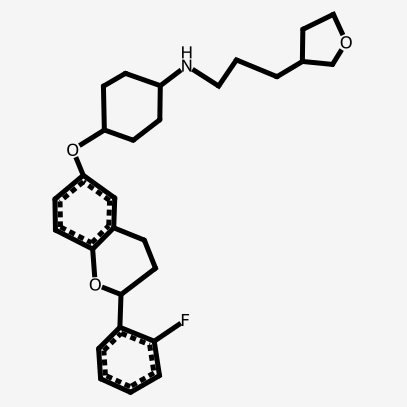 Fc1ccccc1C1CCc2cc(OC3CCC(NCCCC4CCOC4)CC3)ccc2O1